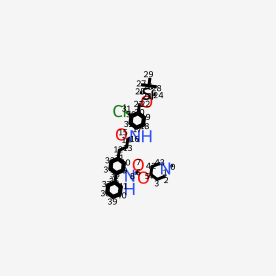 CN1CCC(OC(=O)Nc2cc(CCC(=O)Nc3ccc(CO[Si](C)(C)C(C)(C)C)c(Cl)c3)ccc2-c2ccccc2)CC1